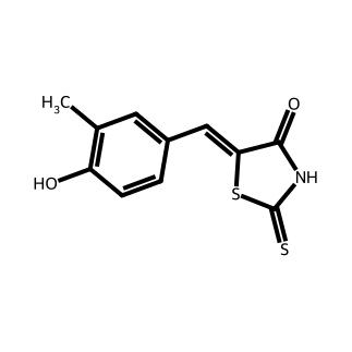 Cc1cc(/C=C2\SC(=S)NC2=O)ccc1O